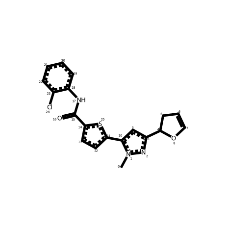 Cn1nc(C2CC=CO2)cc1-c1ccc(C(=O)Nc2ccccc2Cl)s1